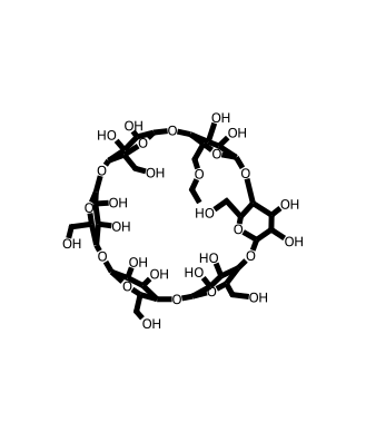 CCOCC1OC2OC3C(CO)OC(OC4C(CO)OC(OC5C(CO)OC(OC6C(CO)OC(OC7C(CO)OC(OC1C(O)C2O)C(O)C7O)C(O)C6O)C(O)C5O)C(O)C4O)C(O)C3O